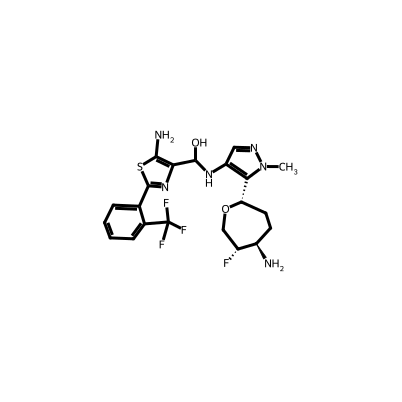 Cn1ncc(NC(O)c2nc(-c3ccccc3C(F)(F)F)sc2N)c1[C@@H]1CC[C@@H](N)[C@H](F)CO1